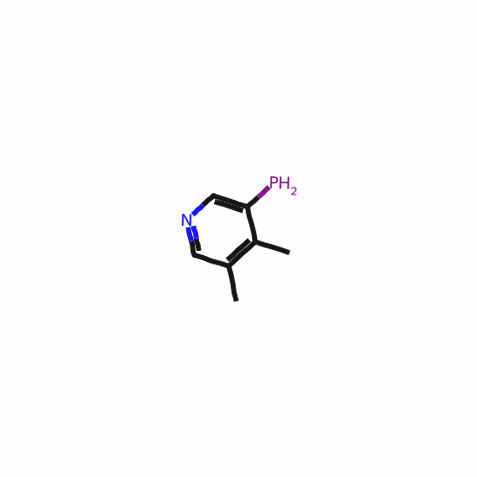 Cc1cncc(P)c1C